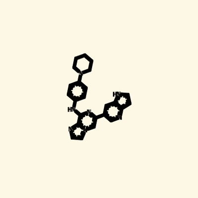 [CH]1CCN(c2ccc(Nc3nc(-c4cnc5cc[nH]c5c4)cn4ccnc34)cc2)CC1